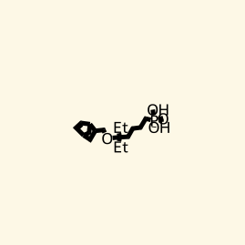 CCC(CC)(CCCCP(=O)(O)O)OCC1CC2C=CC1C2